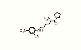 N#Cc1cc([N+](=O)[O-])ccc1NCCCC[C@H](N)C(=O)N1CCSC1